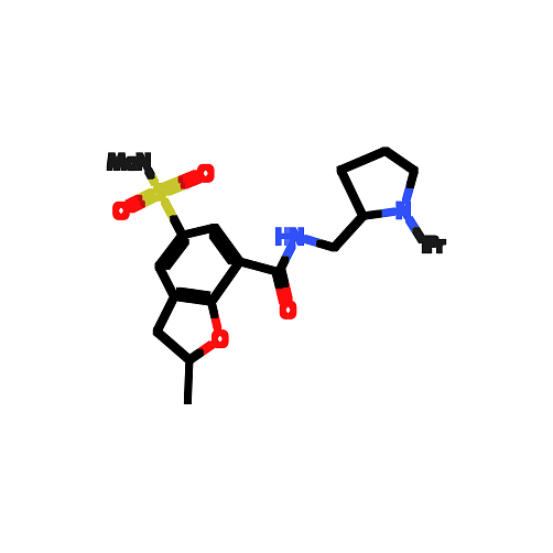 CNS(=O)(=O)c1cc2c(c(C(=O)NCC3CCCN3C(C)C)c1)OC(C)C2